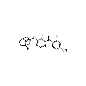 CC(=O)N1C2CC[C@H]1CC(Oc1ncnc(Nc3ccc(C#N)cc3F)c1C)C2